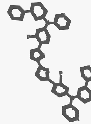 Fc1cc(N(c2cccnc2)c2cccc(-c3ccccc3)c2)ccc1-c1ccc(-c2ccc(-c3ccc(N(c4cccnc4)c4cccc(-c5ccccc5)c4)cc3F)s2)s1